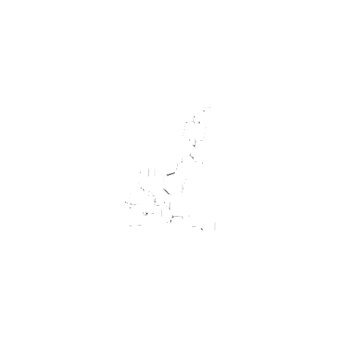 CCCC1[C@H]2CCC[N@]1CCc1c2n(C(=O)OCC)c2ccc(OC(=O)N3CCN(C)CC3)cc12